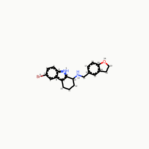 Brc1ccc2[nH]c3c(c2c1)CCCC3NCc1ccc2c(c1)CCO2